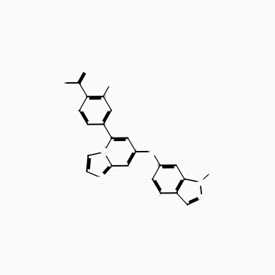 CCc1cc(-c2cc(Oc3ccc4cnn(C)c4c3)cc3nccn23)ccc1C(N)=O